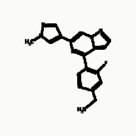 Cn1cc(-c2cn3nccc3c(-c3ccc(CN)cc3F)n2)cn1